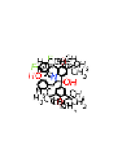 COc1c(C(C)(C)C)cc(C(O)(c2cc(C(C)(C)C)c(OC)c(C(C)(C)C)c2)C(Cc2ccccc2)N=Cc2cc(F)cc(F)c2O)cc1C(C)(C)C